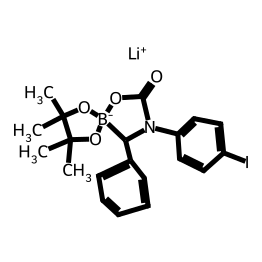 CC1(C)O[B-]2(OC(=O)N(c3ccc(I)cc3)C2c2ccccc2)OC1(C)C.[Li+]